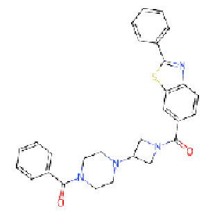 O=C(c1ccccc1)N1CCN(C2CN(C(=O)c3ccc4nc(-c5ccccc5)sc4c3)C2)CC1